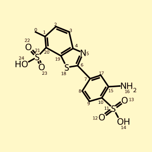 Cc1ccc2nc(-c3ccc(S(=O)(=O)O)c(N)c3)sc2c1S(=O)(=O)O